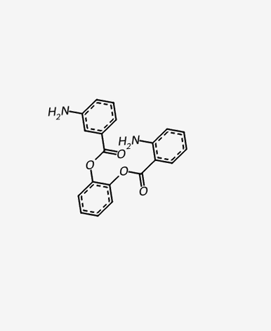 Nc1cccc(C(=O)Oc2ccccc2OC(=O)c2ccccc2N)c1